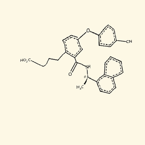 C[C@@H](NC(=O)c1cc(Oc2ccc(C#N)cc2)ccc1CCCC(=O)O)c1cccc2ccccc12